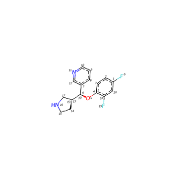 Fc1ccc(O[C@H](c2cccnc2)[C@H]2CCNC2)c(F)c1